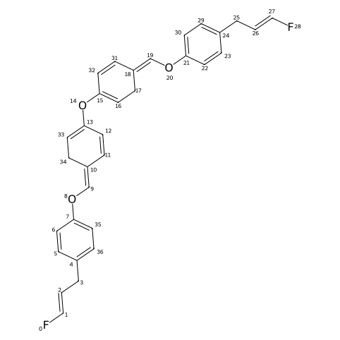 FC=CCc1ccc(OC=C2C=CC(OC3=CCC(=COc4ccc(CC=CF)cc4)C=C3)=CC2)cc1